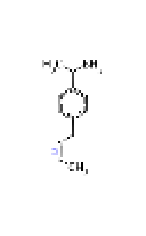 BC(C)c1ccc(C/C=C\C)cc1